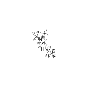 CC(C)(C)[C@@H]1C[C@@]2(CNC(C)(C)C(F)(F)F)CC2N1C(C)(C)C